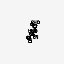 N#Cc1sc(NC(=O)C2CCCC(OC=O)C2)nc1-c1cccc(Cl)c1